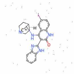 O=c1[nH]c2ccc(I)cc2c(N[C@H]2CN3CCC2CC3)c1-c1nc2ccccc2[nH]1